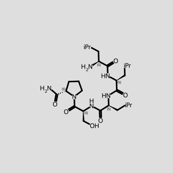 CC(C)C[C@H](NC(=O)[C@H](CC(C)C)NC(=O)[C@@H](N)CC(C)C)C(=O)N[C@@H](CO)C(=O)N1CCC[C@H]1C(N)=O